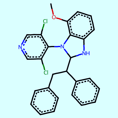 COc1cccc2c1N(c1c(Cl)cncc1Cl)C(C(Cc1ccccc1)c1ccccc1)N2